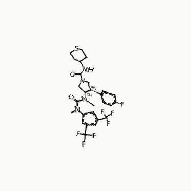 CN(C(=O)N(C)[C@@H]1CN(C(=O)NC2CCSCC2)C[C@H]1c1ccc(F)cc1)c1cc(C(F)(F)F)cc(C(F)(F)F)c1